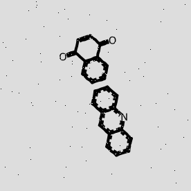 O=C1C=CC(=O)c2ccccc21.c1ccc2nc3ccccc3cc2c1